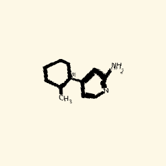 CC1CCCC[C@H]1c1ccnc(N)c1